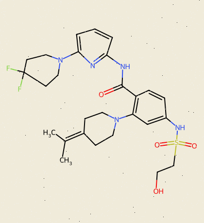 CC(C)=C1CCN(c2cc(NS(=O)(=O)CCO)ccc2C(=O)Nc2cccc(N3CCC(F)(F)CC3)n2)CC1